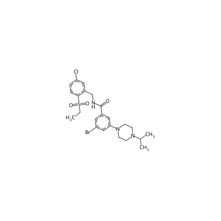 CCS(=O)(=O)c1ccc(Cl)cc1CNC(=O)c1cc(Br)cc(N2CCN(C(C)C)CC2)c1